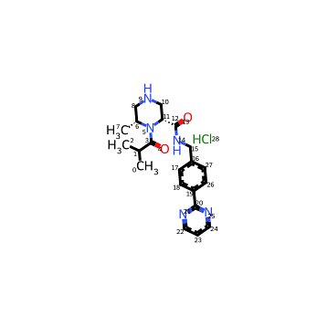 CC(C)C(=O)N1[C@H](C)CNC[C@@H]1C(=O)NCc1ccc(-c2ncccn2)cc1.Cl